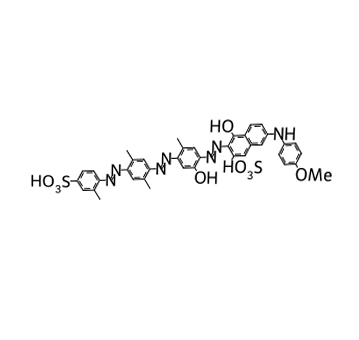 COc1ccc(Nc2ccc3c(O)c(N=Nc4cc(C)c(N=Nc5cc(C)c(N=Nc6ccc(S(=O)(=O)O)cc6C)cc5C)cc4O)c(S(=O)(=O)O)cc3c2)cc1